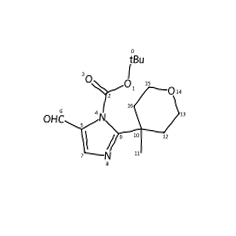 CC(C)(C)OC(=O)n1c(C=O)cnc1C1(C)CCOCC1